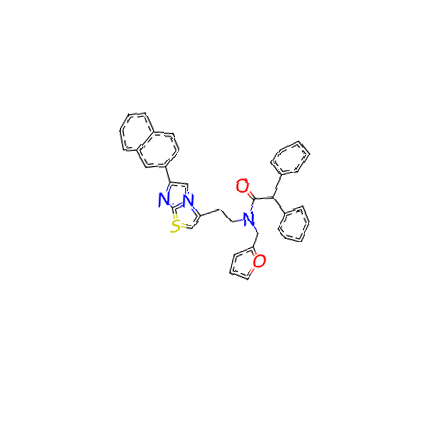 O=C(C(c1ccccc1)c1ccccc1)N(CCc1csc2nc(-c3ccc4ccccc4c3)cn12)Cc1ccco1